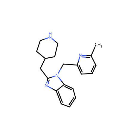 Cc1cccc(Cn2c(CC3CCNCC3)nc3ccccc32)n1